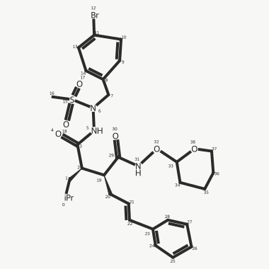 CC(C)C[C@@H](C(=O)NN(Cc1ccc(Br)cc1)S(C)(=O)=O)[C@H](CC=Cc1ccccc1)C(=O)NOC1CCCCO1